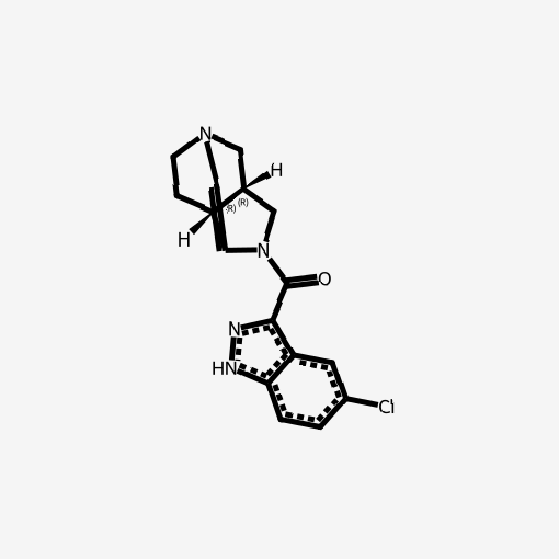 O=C(c1n[nH]c2ccc(Cl)cc12)N1C[C@H]2CN3C=C1[C@@H]2CC3